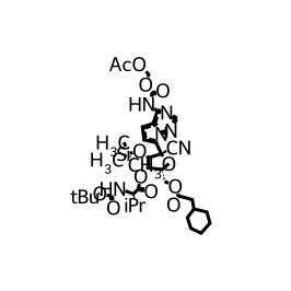 CC(=O)OCOC(=O)Nc1ncnn2c([C@]3(C#N)O[C@H](COC(=O)CC4CCCCC4)[C@@H](OC(=O)[C@@H](NC(=O)OC(C)(C)C)C(C)C)C3O[Si](C)(C)C)ccc12